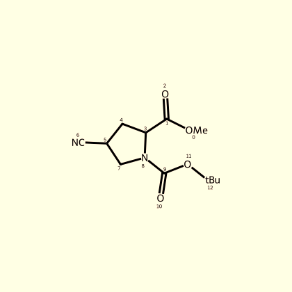 COC(=O)C1CC(C#N)CN1C(=O)OC(C)(C)C